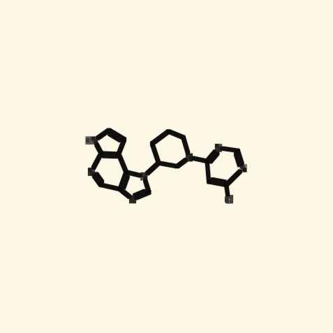 Clc1cc(N2CCCC(n3cnc4cnc5[nH]ccc5c43)C2)ncn1